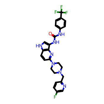 O=C(Nc1ccc(C(F)(F)F)cc1)Nc1c[nH]c2ccc(N3CCN(Cc4ccc(F)cn4)CC3)nc12